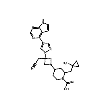 CC1(CC2CC(N3CC(CC#N)(n4cc(-c5ncnc6[nH]ccc56)cn4)C3)CCN2C(=O)O)CC1